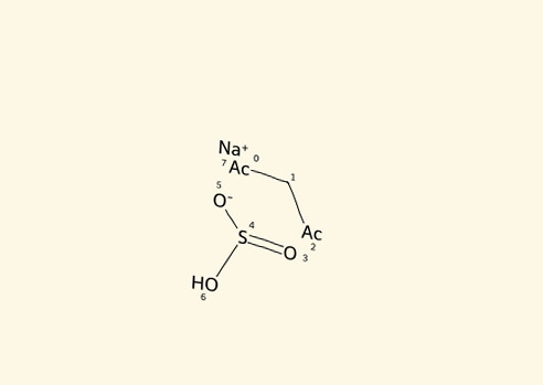 CC(=O)CC(C)=O.O=S([O-])O.[Na+]